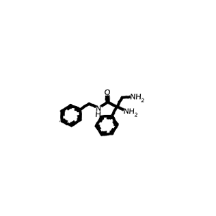 NCC(N)(C(=O)NCc1cc[c]cc1)c1ccccc1